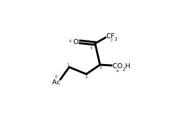 CC(=O)CCC(C(=O)O)C(=O)C(F)(F)F